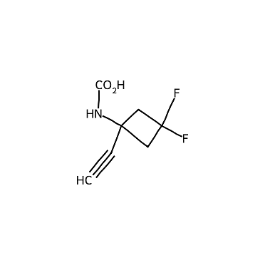 C#CC1(NC(=O)O)CC(F)(F)C1